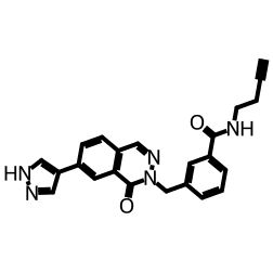 C#CCCNC(=O)c1cccc(Cn2ncc3ccc(-c4cn[nH]c4)cc3c2=O)c1